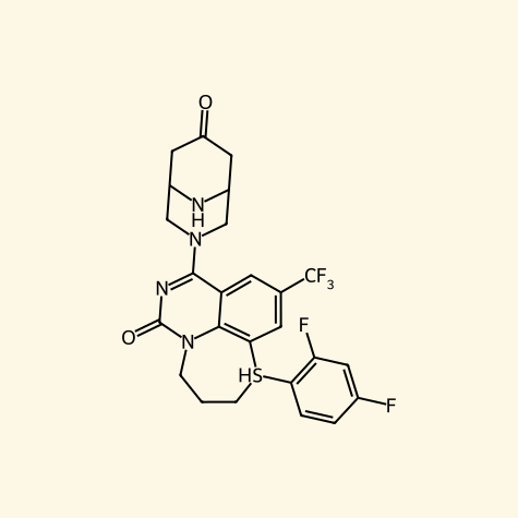 O=C1CC2CN(c3nc(=O)n4c5c(cc(C(F)(F)F)cc35)[SH](c3ccc(F)cc3F)CCC4)CC(C1)N2